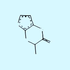 CC1Oc2sccc2NC1=O